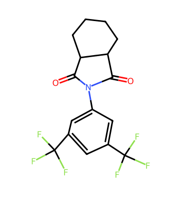 O=C1C2CCCCC2C(=O)N1c1cc(C(F)(F)F)cc(C(F)(F)F)c1